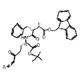 CC(C)(C)OC(=O)[C@H](CCC(=O)C=[N+]=[N-])NC(=O)[C@H](Cc1ccccc1)NC(=O)OCC1c2ccccc2-c2ccccc21